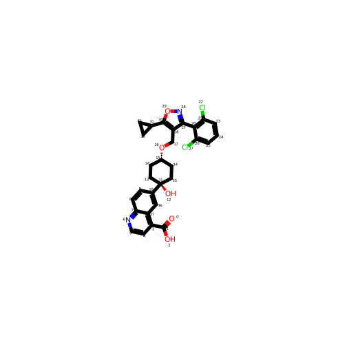 O=C(O)c1ccnc2ccc([C@]3(O)CC[C@H](OCc4c(-c5c(Cl)cccc5Cl)noc4C4CC4)CC3)cc12